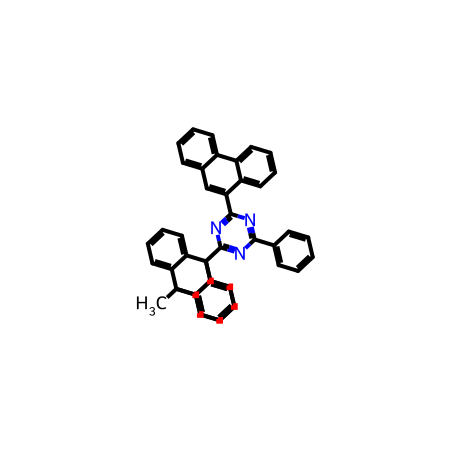 CC12c3ccccc3C(c3nc(-c4ccccc4)nc(-c4cc5ccccc5c5ccccc45)n3)(c3ccccc31)c1ccccc12